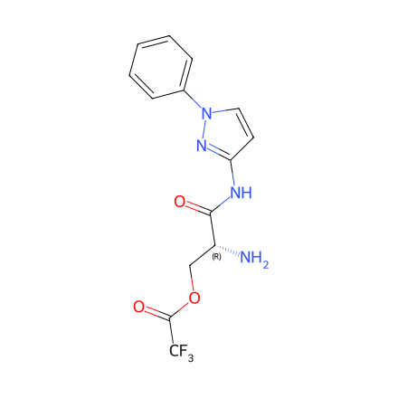 N[C@H](COC(=O)C(F)(F)F)C(=O)Nc1ccn(-c2ccccc2)n1